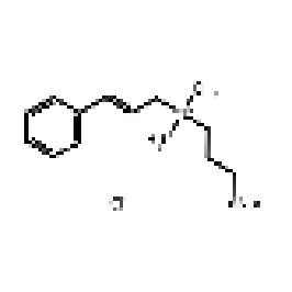 CCCCCCCCCCCC[N+](C)(C)CC=Cc1ccccc1.[Cl-]